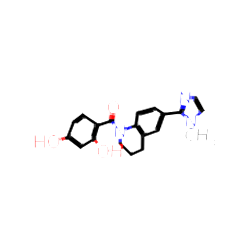 Cn1ccnc1-c1ccc2c(c1)CCCN2C(=O)c1ccc(O)cc1O